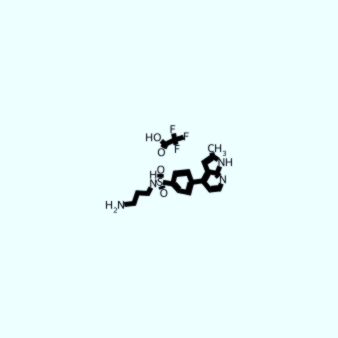 Cc1cc2c(-c3ccc(S(=O)(=O)NCCCN)cc3)ccnc2[nH]1.O=C(O)C(F)(F)F